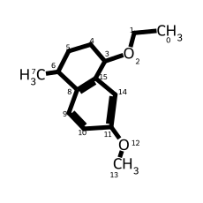 CCOC1CCC(C)c2ccc(OC)cc21